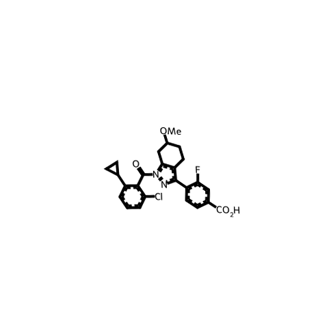 COC1CCc2c(-c3ccc(C(=O)O)cc3F)nn(C(=O)c3c(Cl)cccc3C3CC3)c2C1